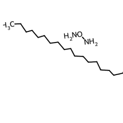 CCCCCCCCCCCCCCCCCC(=O)O.NON